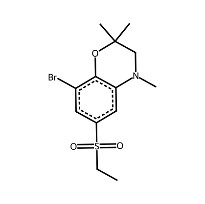 CCS(=O)(=O)c1cc(Br)c2c(c1)N(C)CC(C)(C)O2